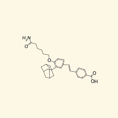 NC(=O)CCCCCOc1ccc(C=Cc2ccc(C(=O)O)cc2)cc1C12CC3CC(CC(C3)C1)C2